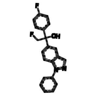 OC(CF)(c1ccc(F)cc1)c1ccc2c(cnn2-c2ccccc2)c1